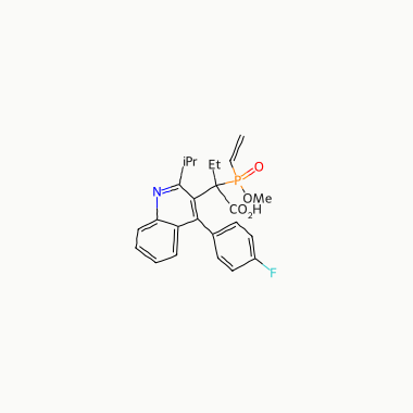 C=CP(=O)(OC)C(CC)(C(=O)O)c1c(C(C)C)nc2ccccc2c1-c1ccc(F)cc1